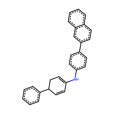 C1=CC(c2ccccc2)CC=C1Nc1ccc(-c2ccc3ccccc3c2)cc1